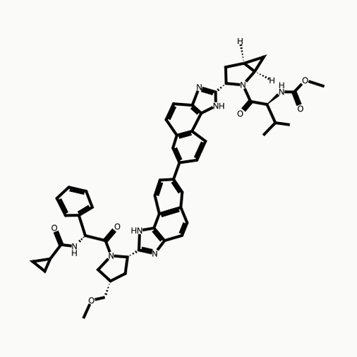 COC[C@H]1C[C@@H](c2nc3ccc4cc(-c5ccc6c(ccc7nc([C@@H]8C[C@H]9C[C@H]9N8C(=O)[C@@H](NC(=O)OC)C(C)C)[nH]c76)c5)ccc4c3[nH]2)N(C(=O)[C@H](NC(=O)C2CC2)c2ccccc2)C1